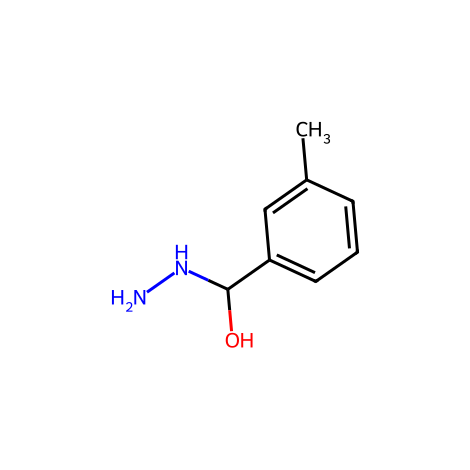 Cc1cccc(C(O)NN)c1